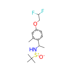 Cc1cc(OCC(F)F)ccc1C(C)N[S+]([O-])C(C)(C)C